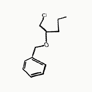 CCCC(CCl)OCc1ccccc1